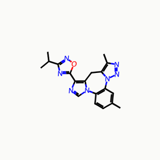 Cc1ccc2c(c1)-n1nnc(C)c1Cc1c(-c3nc(C(C)C)no3)ncn1-2